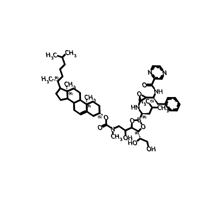 CC(C)CCC[C@@H](C)C1CCC2C3CC=C4C[C@@H](OC(=O)N(C)CC(O)C5OB([C@H](CC(C)C)NC6OC6[C@H](Cc6ccccc6)NC(=O)c6cnccn6)O[C@@H]5C(O)CO)CC[C@]4(C)C3CC[C@@]21C